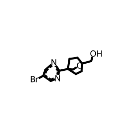 OCC12CCC(c3ncc(Br)cn3)(CC1)CC2